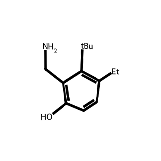 CCc1ccc(O)c(CN)c1C(C)(C)C